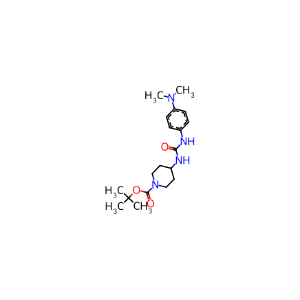 CN(C)c1ccc(NC(=O)NC2CCN(C(=O)OC(C)(C)C)CC2)cc1